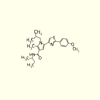 CCC(C)NC(=O)c1cc(-c2csc(-c3ccc(OC)cc3)n2)n(CC(C)C)c1C